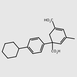 CC1=CC(C(=O)O)(c2ccc(C3CCCCC3)cc2)CC(C(=O)O)=C1